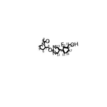 CC(=O)N1CCCC1COc1ncc(-c2cccc(CO)c2F)cn1